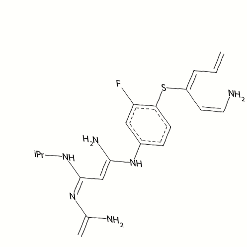 C=C/C=C(\C=C/N)Sc1ccc(N/C(N)=C/C(=N\C(=C)N)NC(C)C)cc1F